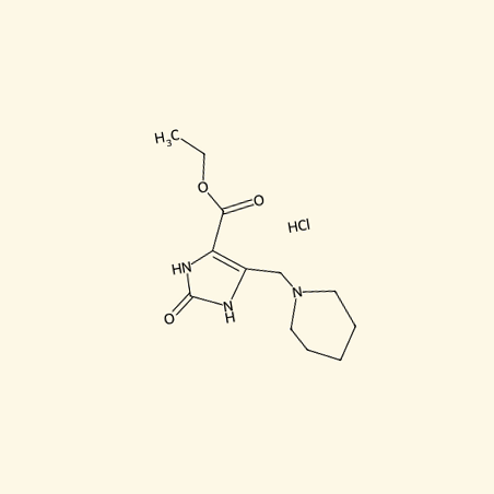 CCOC(=O)c1[nH]c(=O)[nH]c1CN1CCCCC1.Cl